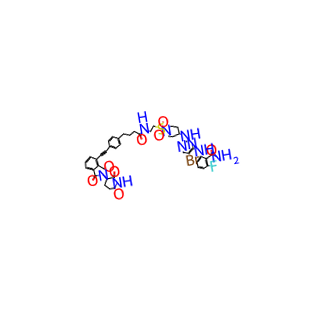 NC(=O)c1c(F)cccc1Nc1nc(NC2CCN(S(=O)(=O)CCNC(=O)CCCc3ccc(C#Cc4cccc5c4C(=O)N(C4CCC(=O)NC4=O)C5=O)cc3)CC2)ncc1Br